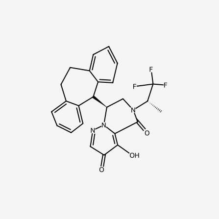 C[C@H](N1C[C@H](C2c3ccccc3CCc3ccccc32)n2ncc(=O)c(O)c2C1=O)C(F)(F)F